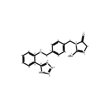 CCCCC1=NCC(=O)N1Cc1ccc(COc2ccccc2-c2nnn[nH]2)cc1